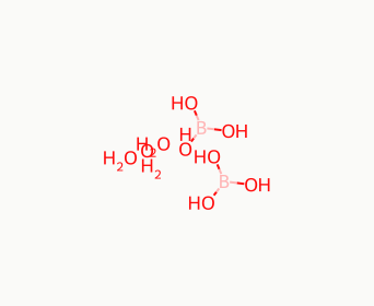 O.O.O.OB(O)O.OB(O)O